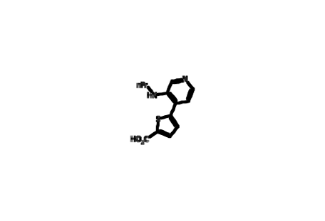 CCCNc1cnccc1-c1ccc(C(=O)O)s1